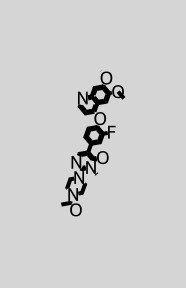 COc1cc2nccc(Oc3ccc(-c4cnc(N5CCN(C(C)=O)CC5)n(C)c4=O)cc3F)c2cc1OC